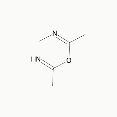 C/N=C(/C)OC(C)=N